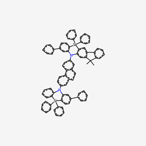 CC1(C)c2ccccc2-c2cc3c(cc21)N(c1ccc2c(ccc4cc(N5c6ccccc6[Si](c6ccccc6)(c6ccccc6)c6ccc(-c7ccccc7)cc65)ccc42)c1)c1cc(-c2ccccc2)ccc1[Si]3(c1ccccc1)c1ccccc1